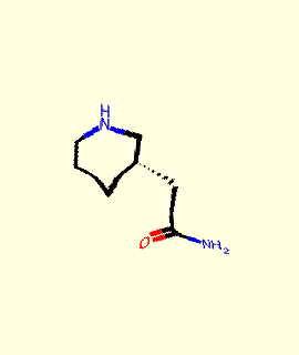 NC(=O)C[C@@H]1CCCNC1